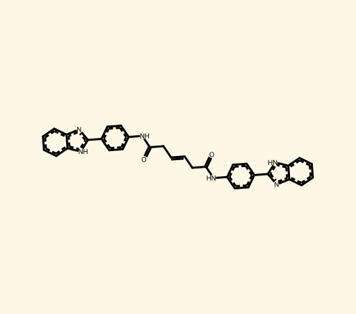 O=C(CC=CCC(=O)Nc1ccc(-c2nc3ccccc3[nH]2)cc1)Nc1ccc(-c2nc3ccccc3[nH]2)cc1